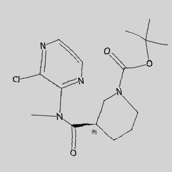 CN(C(=O)[C@@H]1CCCN(C(=O)OC(C)(C)C)C1)c1nccnc1Cl